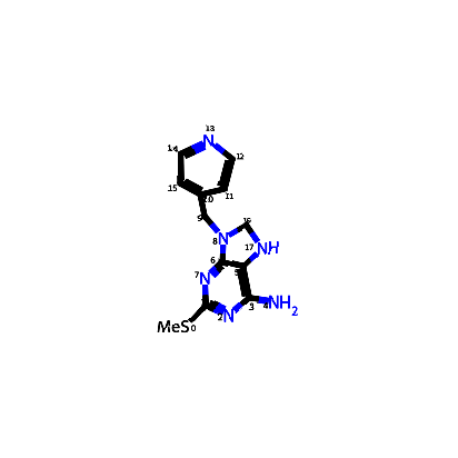 CSc1nc(N)c2c(n1)N(Cc1ccncc1)CN2